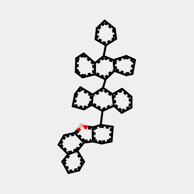 c1ccc(-c2c3ccccc3c(-c3c4ccccc4c(-c4cccc5c4oc4ccc6ccccc6c45)c4ccccc34)c3ccccc23)cc1